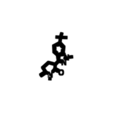 C=C1CCC(c2nn(C)c3cc(C(C)(C)C)ccc23)C(=O)N1C